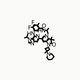 Cc1c(C(=O)NC(C)C)cc(Nc2nc(-c3cnc4c(c3)N(C3CC(C)(N5CCCCC5)C3)C(=O)C4(C)C)cc3ncn(C(C)C)c23)c(F)c1F